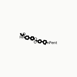 C=CC(=O)NC1CCC(c2ccc(OC(=O)C3CCC(C4CCC(CCCCC)CC4)CC3)cc2)CC1